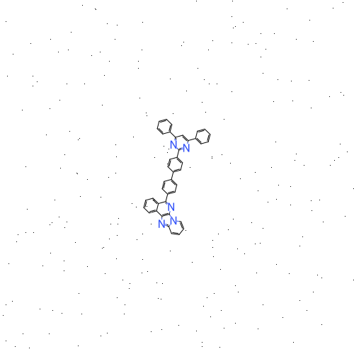 c1ccc(-c2cc(-c3ccccc3)nc(-c3ccc(-c4ccc(-c5nc6c(nc7ccccn76)c6ccccc56)cc4)cc3)n2)cc1